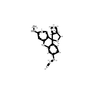 PNc1ccc2c(c1)Oc1cc(N=C=S)ccc1C21OCc2ccccc21